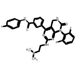 CN(C)CCNc1nc(-c2cccc(C(=O)Nc3ccc(F)cc3)c2)c2c(n1)N(c1c(F)cccc1F)C(=O)NC2